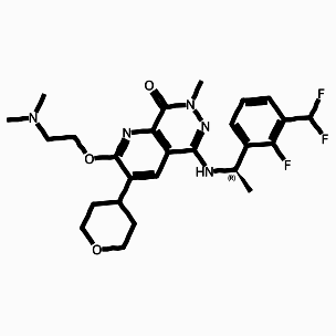 C[C@@H](Nc1nn(C)c(=O)c2nc(OCCN(C)C)c(C3CCOCC3)cc12)c1cccc(C(F)F)c1F